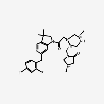 C[C@@H]1CC(=O)N(C[C@H]2CN[C@H](C)CN2CC(=O)N2CC(C)(C)c3cnc(Cc4ccc(F)cc4F)cc32)C1